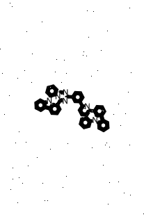 c1ccc(-n2c3ccccc3c3cccc(-c4cccc(-c5cccc(-c6ncnc(-c7cccc8c9ccccc9n(-c9ccccc9)c78)n6)c5)n4)c32)cc1